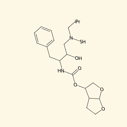 CC(C)CN(S)CC(O)C(Cc1ccccc1)NC(=O)OC1COC2OCCC12